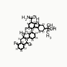 Cc1c(-c2c(F)cc(C(N)=O)c3[nH]c4c(c23)CCC(C(C)(C)O)C4)cccc1N1C(=O)Cc2c(F)cccc2C1=O